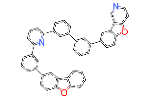 c1cc(-c2cccc(-c3cccc(-c4cccc(-c5ccc6oc7ccccc7c6c5)c4)n3)c2)cc(-c2ccc3oc4ccncc4c3c2)c1